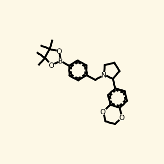 CC1(C)OB(c2ccc(CN3CCCC3c3ccc4c(c3)OCCO4)cc2)OC1(C)C